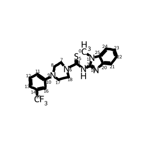 Cn1c(NC(=S)N2CCN(c3cccc(C(F)(F)F)c3)CC2)nc2ccccc21